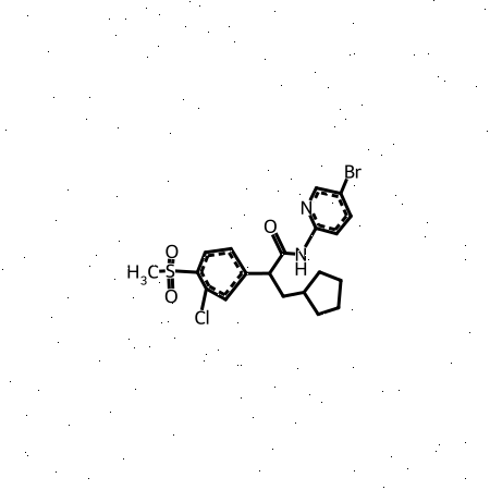 CS(=O)(=O)c1ccc(C(CC2CCCC2)C(=O)Nc2ccc(Br)cn2)cc1Cl